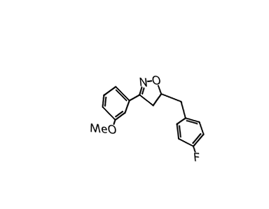 COc1cccc(C2=NOC(Cc3ccc(F)cc3)C2)c1